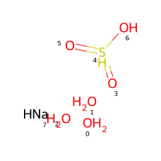 O.O.O.O=[SH](=O)O.[NaH]